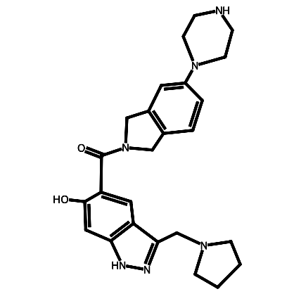 O=C(c1cc2c(CN3CCCC3)n[nH]c2cc1O)N1Cc2ccc(N3CCNCC3)cc2C1